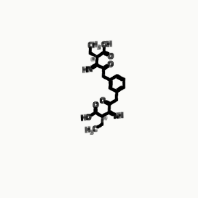 CC[C@H](C(=N)C(=O)Cc1cccc(CC(=O)C(=N)[C@@H](CC)C(=O)O)c1)C(=O)O